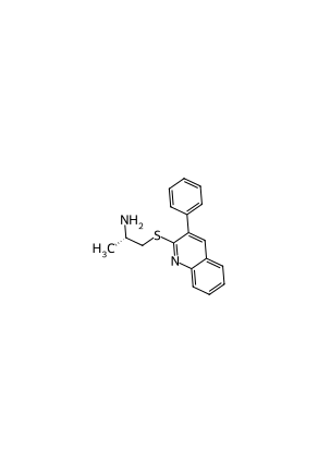 C[C@H](N)CSc1nc2ccccc2cc1-c1ccccc1